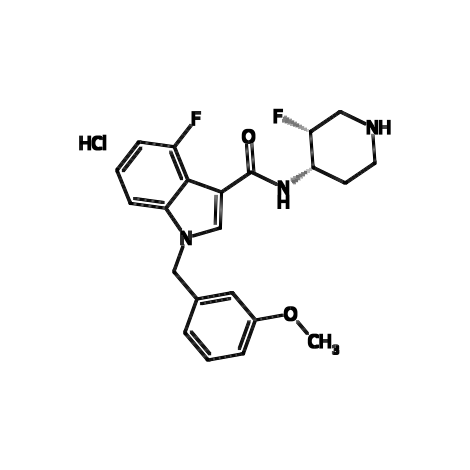 COc1cccc(Cn2cc(C(=O)N[C@H]3CCNC[C@H]3F)c3c(F)cccc32)c1.Cl